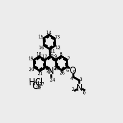 CN(C)CCOc1ccc2c(-c3ccccc3)c3ccccc3[n+](C)c2c1.Cl.[Cl-]